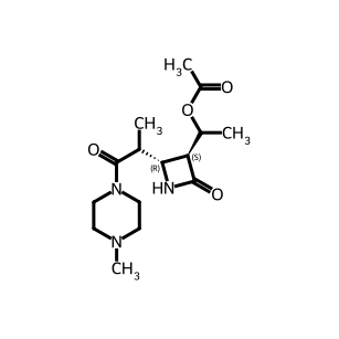 CC(=O)OC(C)[C@H]1C(=O)N[C@@H]1C(C)C(=O)N1CCN(C)CC1